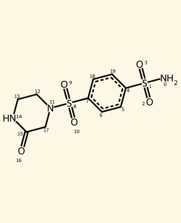 NS(=O)(=O)c1ccc(S(=O)(=O)N2CCNC(=O)C2)cc1